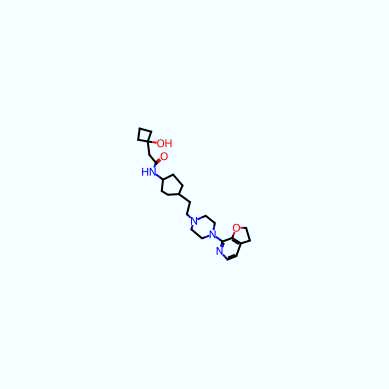 O=C(CC1(O)CCC1)NC1CCC(CCN2CCN(c3nccc4c3OCC4)CC2)CC1